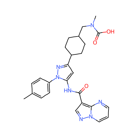 Cc1ccc(-n2nc(C3CCC(CN(C)C(=O)O)CC3)cc2NC(=O)c2cnn3cccnc23)cc1